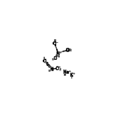 O=N[O-].O=[N+]([O-])[O-].[K+].[Na+]